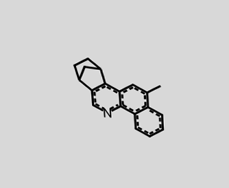 Cc1cc2c3c(cnc2c2ccccc12)C1CCC3C1